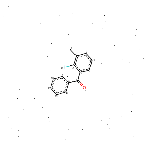 Cc1cccc(C(=O)c2ccccc2)c1F